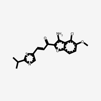 COc1ccc2oc(C(=O)C=Cc3cnc(C(C)C)s3)c(N)c2c1Cl